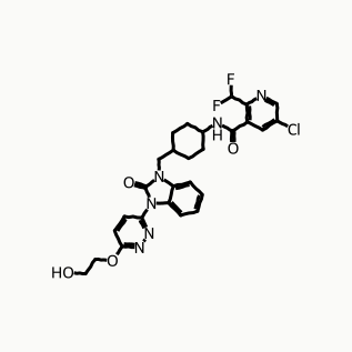 O=C(NC1CCC(Cn2c(=O)n(-c3ccc(OCCO)nn3)c3ccccc32)CC1)c1cc(Cl)cnc1C(F)F